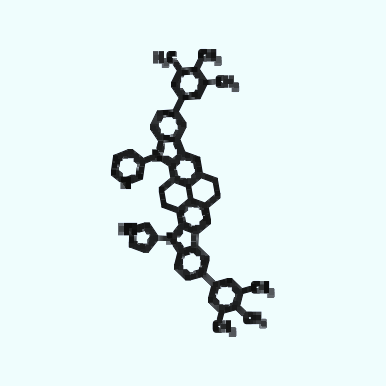 Cc1cc(-c2ccc3c(c2)c2cc4c5c(c2n3-c2cccnc2)CCc2c-5c(cc3c5cc(-c6cc(C)c(C)c(C)c6)ccc5n(-c5cc[nH]c5)c23)CC4)cc(C)c1C